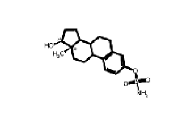 C[C@]12CCC3c4ccc(OS(N)(=O)=O)cc4CCC3C1CC[C@@H]2O